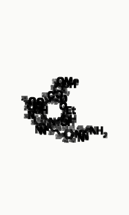 CC[C@H]1OC(=O)[C@H](C)[C@@H](O[C@H]2C[C@@](C)(OC)[C@@H](O)[C@H](C)O2)[C@H](C)[C@@H](O[C@@H]2O[C@H](C)C[C@H](N(C)CCc3cn(CCCCc4ccc(-n5cc(CN)nn5)cc4)nn3)[C@H]2O)[C@](C)(O)C[C@@H](C)CN(C)[C@H](C)[C@@H](O)[C@]1(C)O